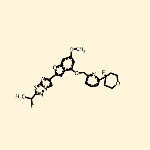 COc1cc(OCc2cccc(C3(F)CCOCC3)n2)c2cc(-c3cn4nc(C(C)F)sc4n3)oc2c1